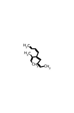 C=C\C=C/C(=C/C=C\C)C(/C)=C\C